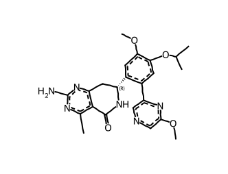 COc1cncc(-c2cc(OC(C)C)c(OC)cc2[C@H]2Cc3nc(N)nc(C)c3C(=O)N2)n1